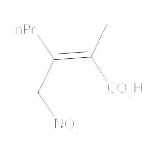 CCCC(C[N+](=O)[O-])=C(C)C(=O)O